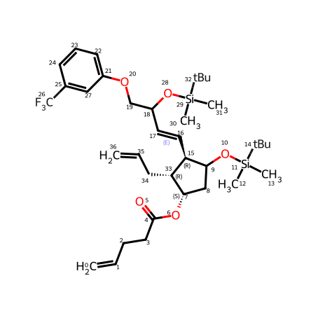 C=CCCC(=O)O[C@H]1CC(O[Si](C)(C)C(C)(C)C)[C@H](/C=C/C(COc2cccc(C(F)(F)F)c2)O[Si](C)(C)C(C)(C)C)[C@H]1CC=C